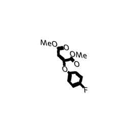 COC(=O)C=C(Oc1ccc(F)cc1)C(=O)OC